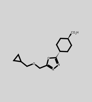 O=C(O)[C@H]1CC[C@H](c2nnc(COCC3CC3)o2)CC1